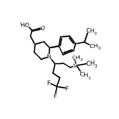 CC(C)c1ccc(C2CC(CC(=O)O)CCN2C(CCC(F)(F)F)CC[Si](C)(C)C)cc1